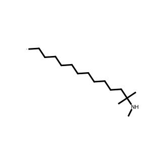 [CH2]CCCCCCCCCCCC(C)(C)NC